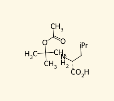 CC(=O)OC(C)(C)C.CC(C)C[C@@H](N)C(=O)O